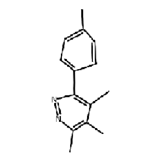 Cc1ccc(-c2nnc(C)c(C)c2C)cc1